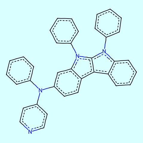 c1ccc(N(c2ccncc2)c2ccc3c4c5ccccc5n(-c5ccccc5)c4n(-c4ccccc4)c3c2)cc1